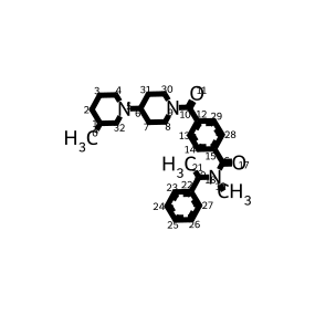 CC1CCCN(C2CCN(C(=O)c3ccc(C(=O)N(C)C(C)c4ccccc4)cc3)CC2)C1